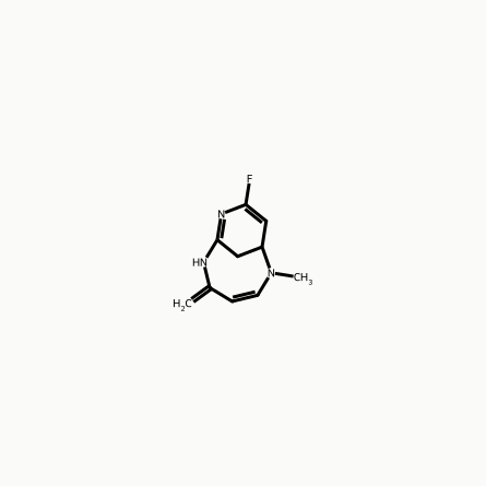 C=C1/C=C\N(C)C2C=C(F)N=C(C2)N1